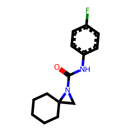 O=C(Nc1ccc(F)cc1)N1CC12CCCCC2